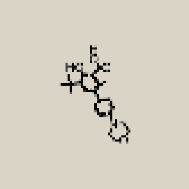 Cc1c(-c2ccc(N3CCOCC3)cc2)cc(C(C)(C)C)c(O)c1C(=O)O